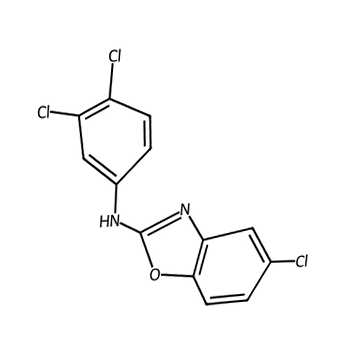 Clc1ccc2oc(Nc3ccc(Cl)c(Cl)c3)nc2c1